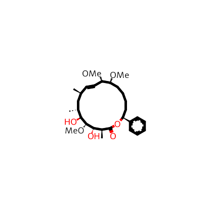 CO[C@@H]1[C@@H](O)[C@H](C)C[C@@H](C)/C=C/[C@@H](OC)[C@@H](OC)CCCC[C@@H](c2ccccc2)OC(=O)[C@@H](C)[C@@H]1O